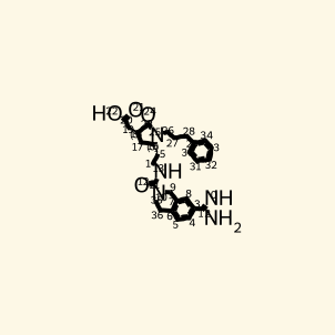 N=C(N)c1ccc2c(c1)CN(C(=O)NCC[C@@H]1C[C@@H](CC(=O)O)C(=O)N1CCCc1ccccc1)CC2